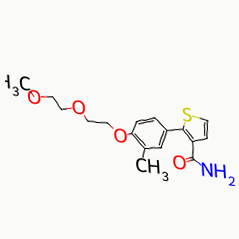 COCCOCCOc1ccc(-c2sccc2C(N)=O)cc1C